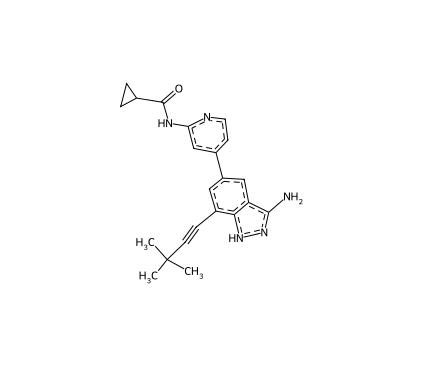 CC(C)(C)C#Cc1cc(-c2ccnc(NC(=O)C3CC3)c2)cc2c(N)n[nH]c12